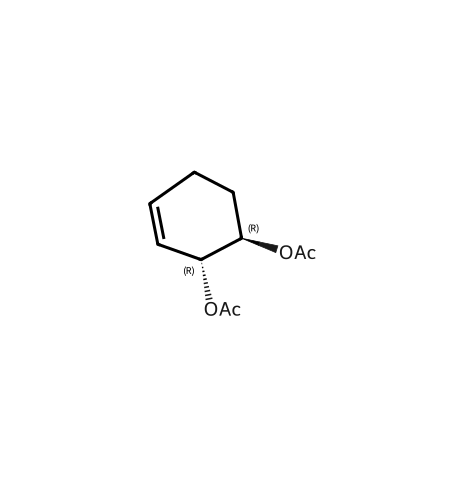 CC(=O)O[C@@H]1C=CCC[C@H]1OC(C)=O